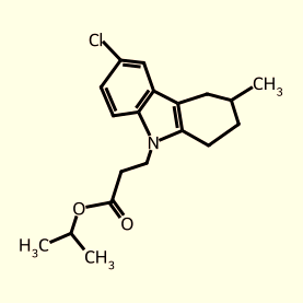 CC1CCc2c(c3cc(Cl)ccc3n2CCC(=O)OC(C)C)C1